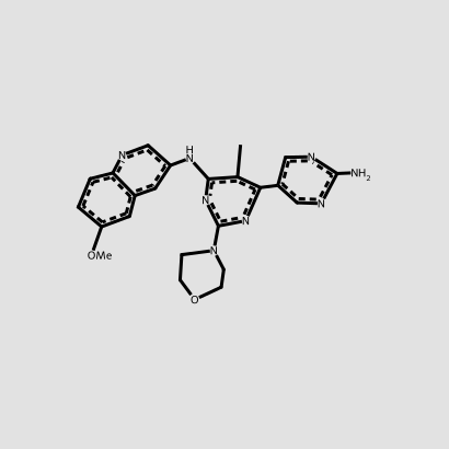 COc1ccc2ncc(Nc3nc(N4CCOCC4)nc(-c4cnc(N)nc4)c3C)cc2c1